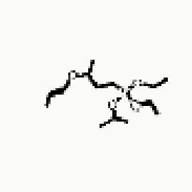 CC=COC(C)CC[Si](OCC)(OCC)OC(C)C